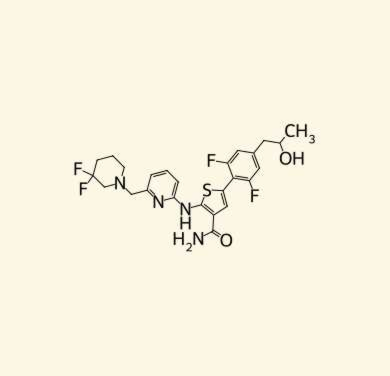 CC(O)Cc1cc(F)c(-c2cc(C(N)=O)c(Nc3cccc(CN4CCCC(F)(F)C4)n3)s2)c(F)c1